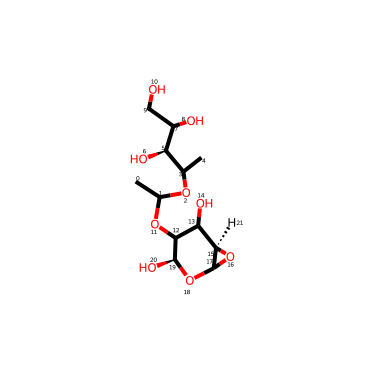 CC(OC(C)[C@@H](O)C(O)CO)OC1C(O)[C@H]2OC2O[C@H]1O